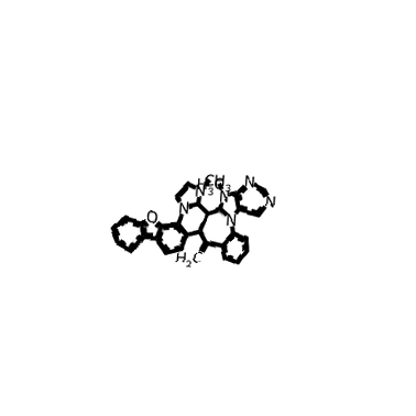 C=C1c2ccccc2N2c3cncnc3N(C)C2C2C1c1ccc3c(oc4ccccc43)c1N1C=CN(C)C21